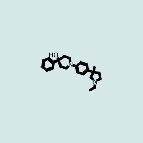 CCN1CCC(C)(c2ccc(N3CCC(O)(c4ccccc4)CC3)cc2)C1